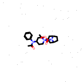 CCOC(=O)N1C2CCC1CC(N1CCC(N(C(C)=O)c3ccccc3)CC1)C2